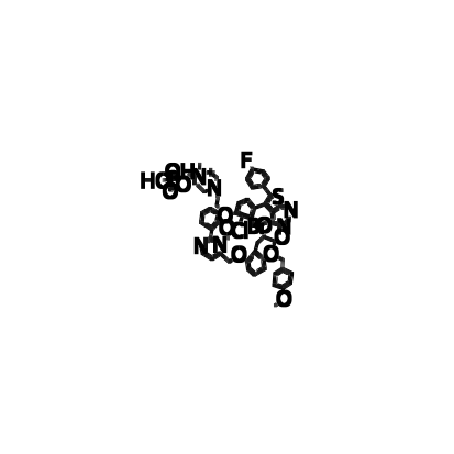 COc1ccc(COC(=O)C(Cc2ccccc2OCc2ccnc(-c3ccccc3OC)n2)Oc2ncnc3sc(-c4ccc(F)cc4)c(-c4ccc(OCCN5CC[N+](C)(COP(=O)(O)O)CC5)c(Cl)c4Br)c23)cc1